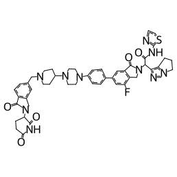 O=C1CCC(N2Cc3cc(CN4CCC(N5CCN(c6ccc(-c7cc(F)c8c(c7)C(=O)N(C(C(=O)Nc7nccs7)c7ncn9c7CCC9)C8)cc6)CC5)CC4)ccc3C2=O)C(=O)N1